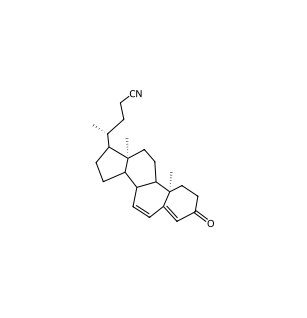 C[C@H](CCC#N)C1CCC2C3C=CC4=CC(=O)CC[C@]4(C)C3CC[C@@]21C